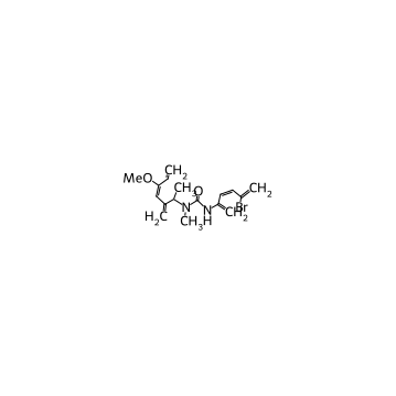 C=C/C(=C\C(=C)C(C)N(C)C(=O)NC(=C)/C=C\C(=C)Br)OC